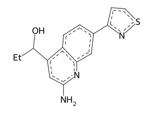 CCC(O)c1cc(N)nc2cc(-c3ccsn3)ccc12